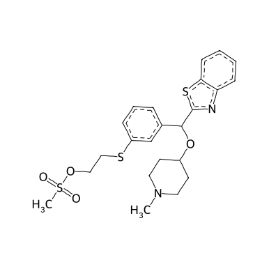 CN1CCC(OC(c2cccc(SCCOS(C)(=O)=O)c2)c2nc3ccccc3s2)CC1